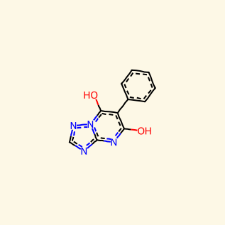 Oc1nc2ncnn2c(O)c1-c1ccccc1